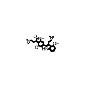 CN(C)CCC1=C2C(=O)C=C(c3[nH]c4cccc(O)c4c3CCN(C)C)C=C2NC1=O